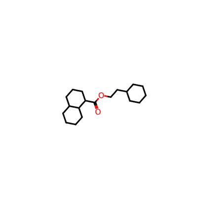 O=C(OCCC1CCCCC1)C1CCCC2CCCCC21